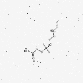 CCNCCOC(C)(C)CCC(=O)O